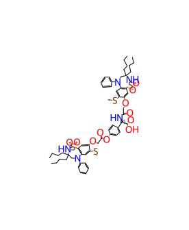 CCCCC1(CCCC)CN(c2ccccc2)c2cc(SC)c(OCC(=O)N[C@@H](C(=O)O)c3ccc(OC(=O)COc4cc5c(cc4SC)N(c4ccccc4)CC(CCCC)(CCCC)NS5(=O)=O)cc3)cc2S(=O)(=O)N1